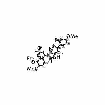 CCOc1nc(C(CS(C)(=O)=O)n2c(=O)[nH]c3c(C)c(-c4ccc(OC)cc4F)cnc32)ccc1OC